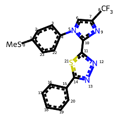 CSc1ccc(-n2cc(C(F)(F)F)nc2-c2nnc(-c3ccccc3)s2)cc1